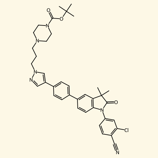 CC(C)(C)OC(=O)N1CCN(CCCn2cc(-c3ccc(-c4ccc5c(c4)C(C)(C)C(=O)N5c4ccc(C#N)c(Cl)c4)cc3)cn2)CC1